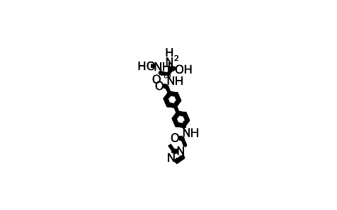 Cc1nccn1CC(=O)Nc1ccc(-c2ccc(C(=O)N[C@H](C(=O)NO)[C@@H](N)O)cc2)cc1